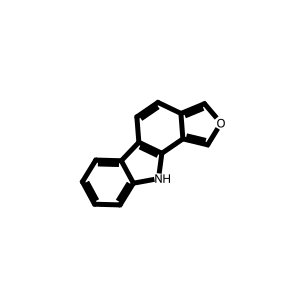 c1ccc2c(c1)[nH]c1c3cocc3ccc21